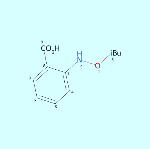 CCC(C)ONc1ccccc1C(=O)O